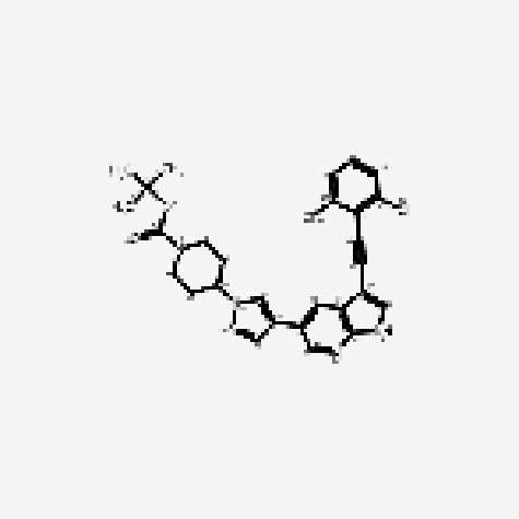 CC(C)(C)OC(=O)N1CCC(n2cc(-c3cnc4[nH]cc(C#Cc5c(Cl)cccc5Cl)c4c3)cn2)CC1